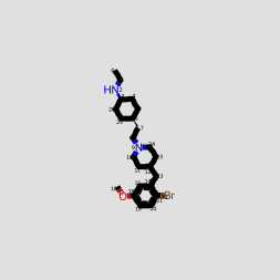 CCN[C@H]1CC[C@H](CCN2CCC(Cc3cc(OC)ccc3Br)CC2)CC1